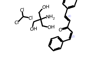 ClC(Cl)Cl.NC(CO)(CO)CO.O=C(/C=C\c1ccccc1)/C=C/c1ccccc1